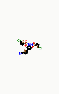 N#Cc1ccc(-c2ccc(NS(=O)(=O)c3ccc(Cl)s3)c(NS(=O)(=O)c3ccc(Cl)s3)c2)s1